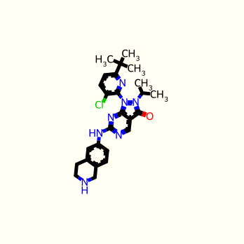 CC(C)n1c(=O)c2cnc(Nc3ccc4c(c3)CCNC4)nc2n1-c1nc(C(C)(C)C)ccc1Cl